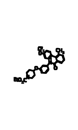 CCOC(=O)N1CCC(Oc2cccc(NC(=O)c3cccc(C)c3-c3ccc(OC(F)(F)F)cc3)c2)CC1